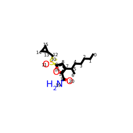 CCCCCC(C)c1cc([S+]([O-])CC2CC2)oc1C(N)=O